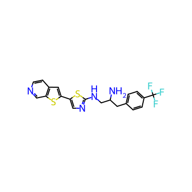 NC(CNc1ncc(-c2cc3ccncc3s2)s1)Cc1ccc(C(F)(F)F)cc1